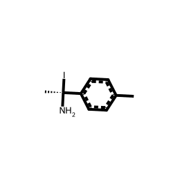 Cc1ccc([C@@](C)(N)I)cc1